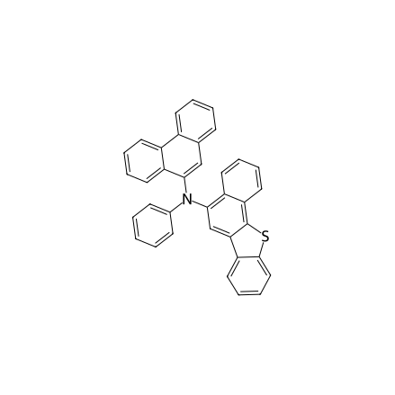 c1ccc(N(c2cc3ccccc3c3ccccc23)c2cc3c4ccccc4sc3c3ccccc23)cc1